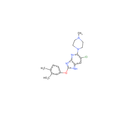 Cc1ccc(Oc2nc3nc(N4CCN(C)CC4)c(Cl)cc3[nH]2)cc1C(=O)O